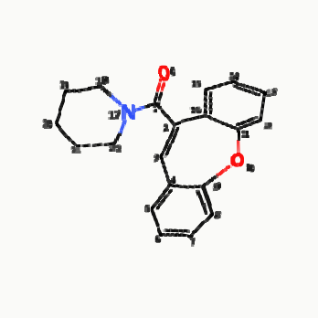 O=C(C1=Cc2ccccc2Oc2ccccc21)N1CCCCC1